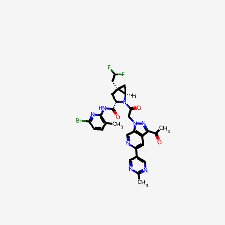 CC(=O)c1nn(CC(=O)N2[C@H](C(=O)Nc3nc(Br)ccc3C)C[C@@]3(CC(F)F)C[C@@H]23)c2cnc(-c3cnc(C)nc3)cc12